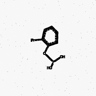 CC(C)c1ccccc1OP(O)O